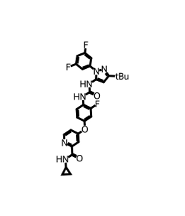 CC(C)(C)c1cc(NC(=O)Nc2ccc(Oc3ccnc(C(=O)NC4CC4)c3)cc2F)n(-c2cc(F)cc(F)c2)n1